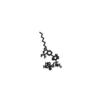 CCCCCCCCOc1ccc(-c2noc(C(C)(N)COP(=O)(O)O)n2)cc1C(F)(F)F